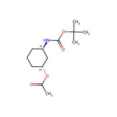 CC(=O)O[C@@H]1CCC[C@@H](NC(=O)OC(C)(C)C)C1